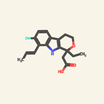 CC=Cc1c(F)ccc2c3c([nH]c12)C(CC)(CC(=O)O)OCC3